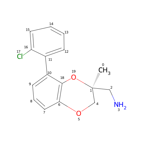 C[C@]1(CN)COc2cccc(-c3ccccc3Cl)c2O1